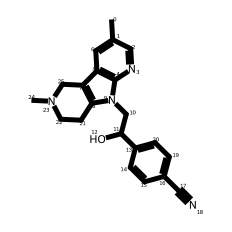 Cc1cnc2c(c1)c1c(n2CC(O)c2ccc(C#N)cc2)CCN(C)C1